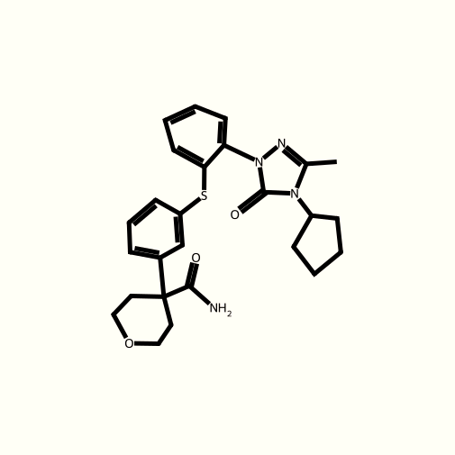 Cc1nn(-c2ccccc2Sc2cccc(C3(C(N)=O)CCOCC3)c2)c(=O)n1C1CCCC1